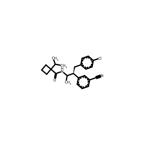 CC(NC(=O)C1(C(C)C)CCC1)[C@@H](Cc1ccc(Cl)cc1)c1cccc(C#N)c1